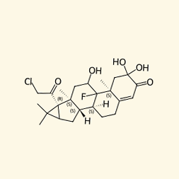 CC1(C)C2C[C@H]3[C@@H]4CCC5=CC(=O)C(O)(O)C[C@]5(C)C4(F)C(O)C[C@]3(C)[C@@]21C(=O)CCl